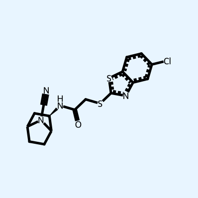 N#CN1C2CCC1[C@H](NC(=O)CSc1nc3cc(Cl)ccc3s1)C2